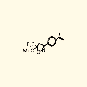 C=C(C)c1ccc(C2=NOC(OC)(C(F)(F)F)C2)cc1